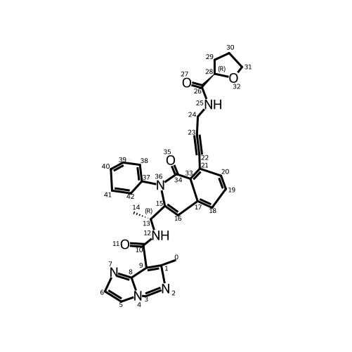 Cc1ncn2ccnc2c1C(=O)N[C@H](C)c1cc2cccc(C#CCNC(=O)[C@H]3CCCO3)c2c(=O)n1-c1ccccc1